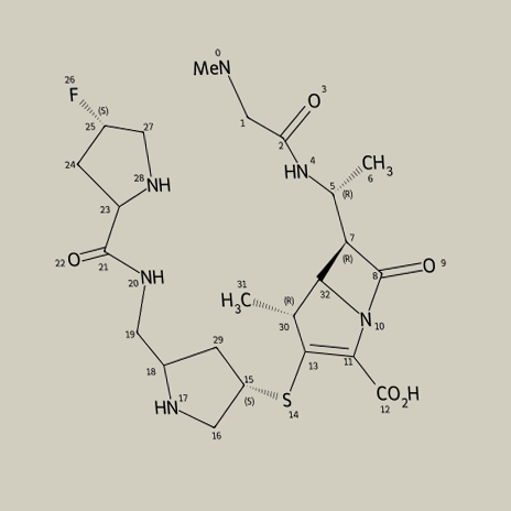 CNCC(=O)N[C@H](C)[C@H]1C(=O)N2C(C(=O)O)=C(S[C@@H]3CNC(CNC(=O)C4C[C@H](F)CN4)C3)[C@H](C)C12